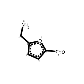 NCc1ccc(C=O)o1